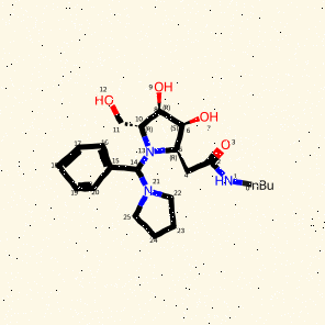 CCCCNC(=O)C[C@@H]1[C@H](O)[C@H](O)[C@@H](CO)N1C(c1ccccc1)N1CCCC1